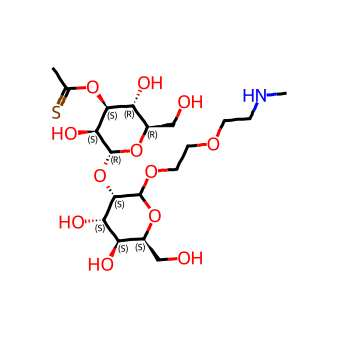 CNCCOCCOC1O[C@@H](CO)[C@@H](O)[C@H](O)[C@@H]1O[C@H]1O[C@H](CO)[C@@H](O)[C@H](OC(C)=S)[C@@H]1O